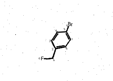 FCc1ccc(Br)cc1